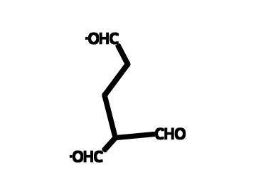 O=[C]CCC([C]=O)C=O